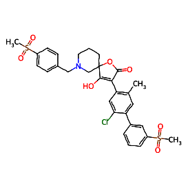 Cc1cc(-c2cccc(S(C)(=O)=O)c2)c(Cl)cc1C1=C(O)C2(CCCN(Cc3ccc(S(C)(=O)=O)cc3)C2)OC1=O